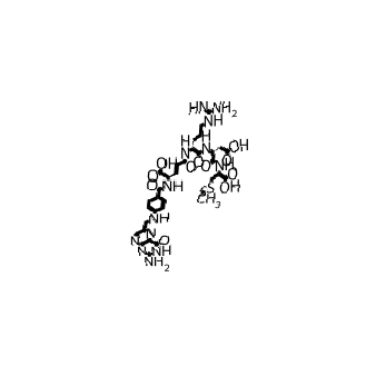 CSSCC(NC(=O)[C@@H](CC(=O)O)NC(=O)[C@@H](CCCNC(=N)N)NC(=O)CC[C@@H](NC(=O)c1ccc(NCc2cnc3nc(N)[nH]c(=O)c3n2)cc1)C(=O)O)C(=O)O